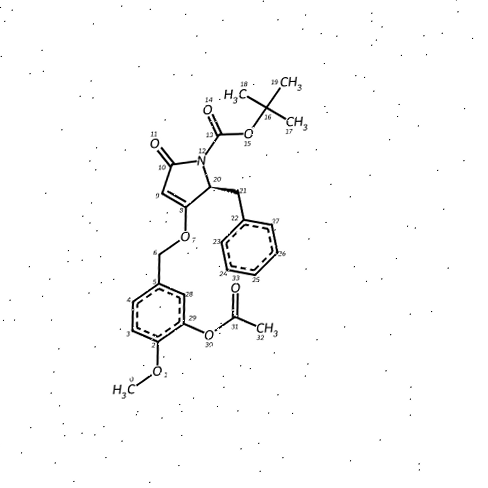 COc1ccc(COC2=CC(=O)N(C(=O)OC(C)(C)C)[C@H]2Cc2ccccc2)cc1OC(C)=O